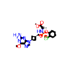 COC(=O)[C@H](C)NP(=O)(OC[C@H]1C[C@@H](n2cnc3c(OC)nc(N)nc32)C1)Oc1ccccc1Cl